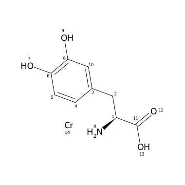 N[C@@H](Cc1ccc(O)c(O)c1)C(=O)O.[Cr]